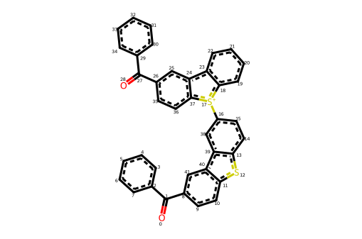 O=C(c1ccccc1)c1ccc2sc3ccc(-[s+]4c5ccccc5c5cc(C(=O)c6ccccc6)ccc54)cc3c2c1